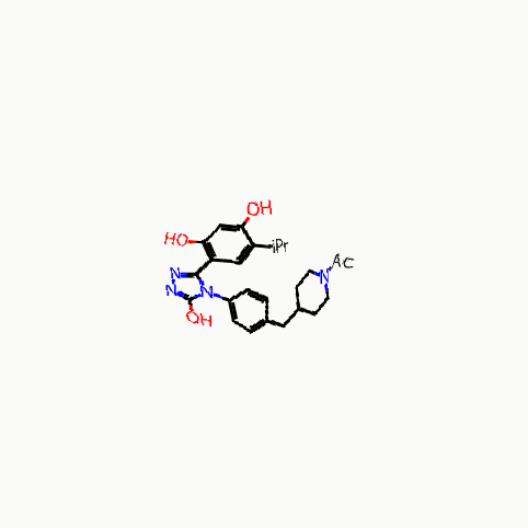 CC(=O)N1CCC(Cc2ccc(-n3c(O)nnc3-c3cc(C(C)C)c(O)cc3O)cc2)CC1